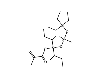 C=C(C)C(=O)O[Si](O[Si](C)(C)O[Si](CC)(CC)CC)(C(C)CC)C(C)CC